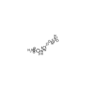 NC1(c2cnc(OC3CC(c4cnc(Nc5ccc(S(N)(=O)=O)cc5F)nc4)C3)s2)CCC1